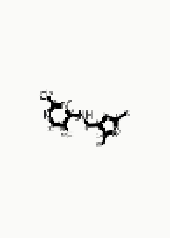 Cc1cc(CNc2nc(Cl)ncc2F)c(C)o1